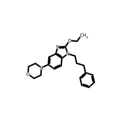 CCOc1nc2cc(N3CCOCC3)ccc2n1CCCc1ccccc1